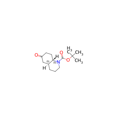 CC(C)(C)OC(=O)N1CCC[C@H]2CC(=O)CC[C@@H]21